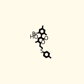 Cc1ccc(SCCc2oc(=O)c(-c3c(C)cc(C)cc3Br)c(O)c2C)cc1